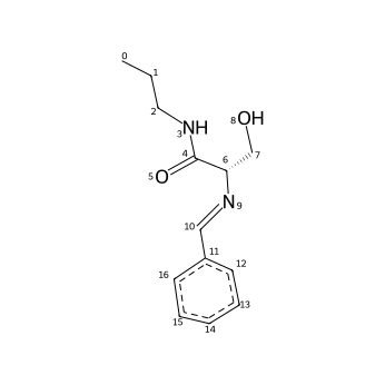 CCCNC(=O)[C@H](CO)/N=C/c1ccccc1